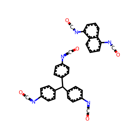 O=C=Nc1ccc(C(c2ccc(N=C=O)cc2)c2ccc(N=C=O)cc2)cc1.O=C=Nc1cccc2c(N=C=O)cccc12